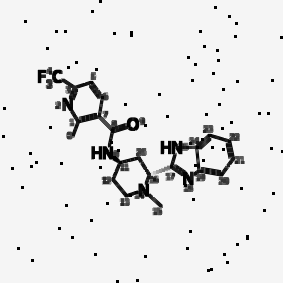 Cc1nc(C(F)(F)F)ccc1C(=O)N[C@@H]1CCN(C)[C@@H](c2nc3ccccc3[nH]2)C1